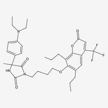 CCCc1cc2c(C(F)(F)F)cc(=O)oc2c(CCC)c1OCCCCN1C(=O)NC(C)(c2ccc(N(CC)CC)cc2)C1=O